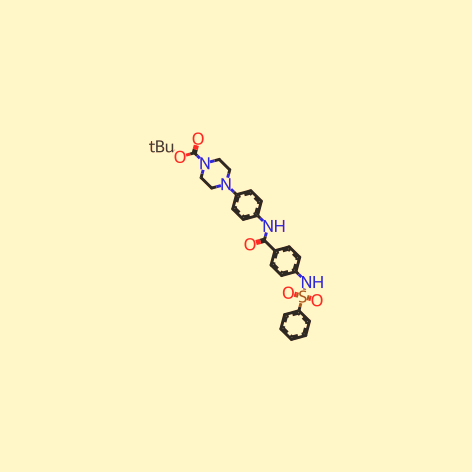 CC(C)(C)OC(=O)N1CCN(c2ccc(NC(=O)c3ccc(NS(=O)(=O)c4ccccc4)cc3)cc2)CC1